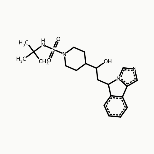 CC(C)(C)NS(=O)(=O)N1CCC(C(O)CC2c3ccccc3-c3cncn32)CC1